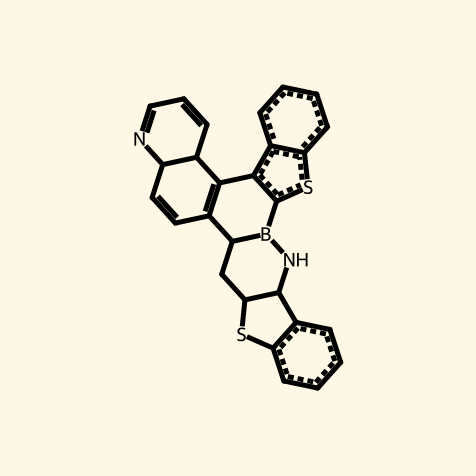 C1=CC2C3=C(C=CC2N=C1)C1CC2Sc4ccccc4C2NB1c1sc2ccccc2c13